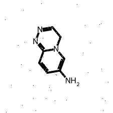 NC1=CN2CC=NN=C2C=C1